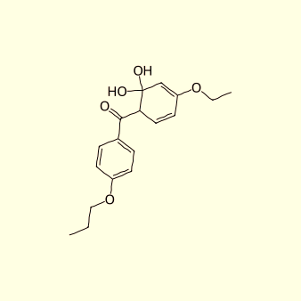 CCCOc1ccc(C(=O)C2C=CC(OCC)=CC2(O)O)cc1